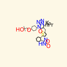 CCCc1c(Cc2ccc(-c3ccccc3-c3noc(=O)[nH]3)s2)c(=O)n([C@H]2CC[C@H](OCC(C)(C)O)CC2)c2ncnn12.[K]